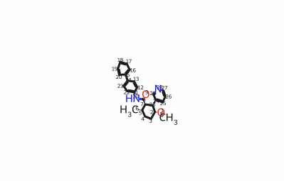 CO[C@@H]1CC[C@H](C)[C@@H](C(=O)Nc2ccc(-c3ccccc3)cc2)[C@H]1c1cccnc1